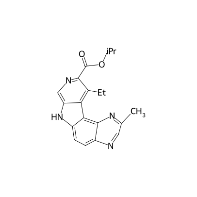 CCc1c(C(=O)OC(C)C)ncc2[nH]c3ccc4ncc(C)nc4c3c12